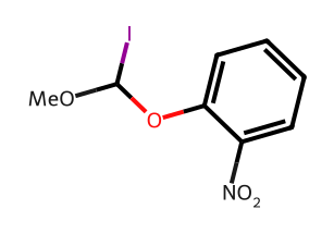 COC(I)Oc1ccccc1[N+](=O)[O-]